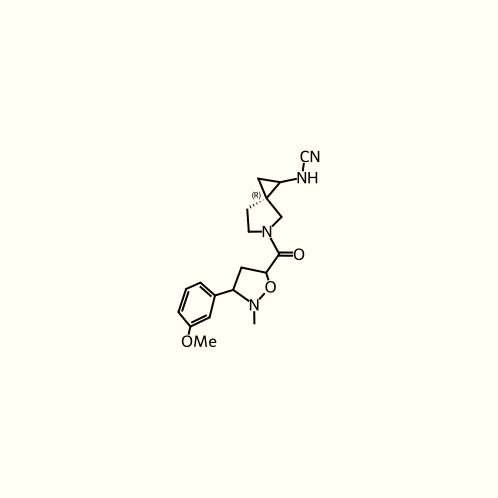 COc1cccc(C2CC(C(=O)N3CC[C@@]4(CC4NC#N)C3)ON2C)c1